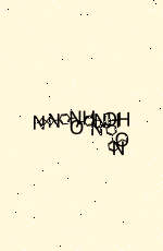 COc1ncccc1-c1ccc(O)c(-c2nc3cc(C(=O)Nc4ccc(N5CC6(CN(C)C6)C5)cc4)cc(C)c3[nH]2)c1